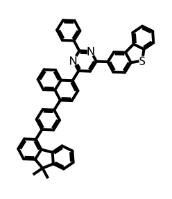 CC1(C)c2ccccc2-c2c(-c3ccc(-c4ccc(-c5cc(-c6ccc7sc8ccccc8c7c6)nc(-c6ccccc6)n5)c5ccccc45)cc3)cccc21